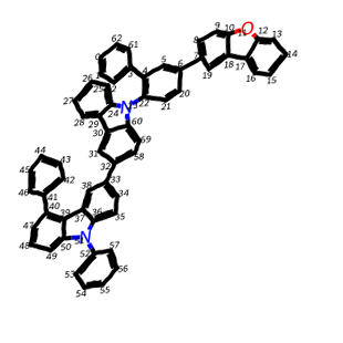 c1ccc(-c2cc(-c3ccc4oc5ccccc5c4c3)ccc2-n2c3ccccc3c3cc(-c4ccc5c(c4)c4c(-c6ccccc6)cccc4n5-c4ccccc4)ccc32)cc1